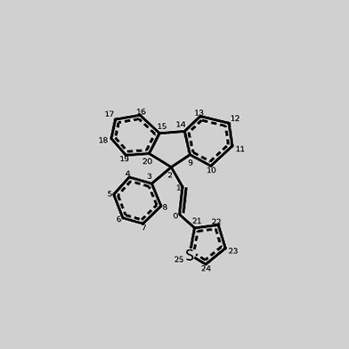 C(=CC1(c2ccccc2)c2ccccc2-c2ccccc21)c1cccs1